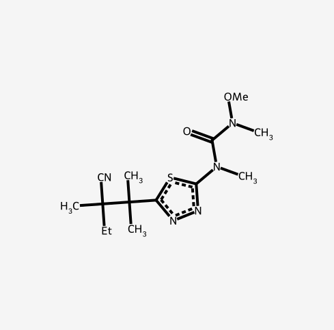 CCC(C)(C#N)C(C)(C)c1nnc(N(C)C(=O)N(C)OC)s1